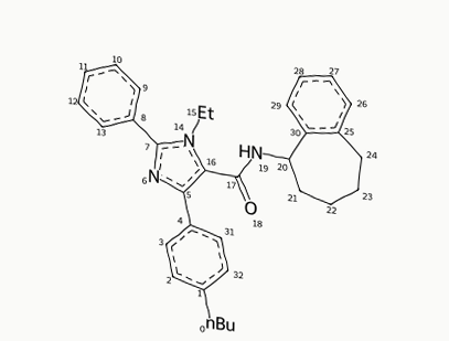 CCCCc1ccc(-c2nc(-c3ccccc3)n(CC)c2C(=O)NC2CCCCc3ccccc32)cc1